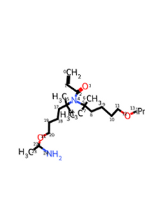 C=CC(=O)N(C(C)(C)CCCCOC(C)C)C(C)(C)CCCCOC(C)N